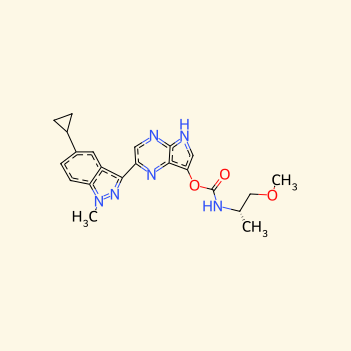 COC[C@H](C)NC(=O)Oc1c[nH]c2ncc(-c3nn(C)c4ccc(C5CC5)cc34)nc12